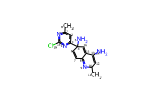 Cc1cc(C2(N)C=CC3=NC(C)C=C(N)C3=C2)nc(Cl)n1